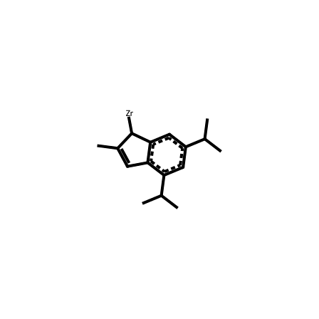 CC1=Cc2c(C(C)C)cc(C(C)C)cc2[CH]1[Zr]